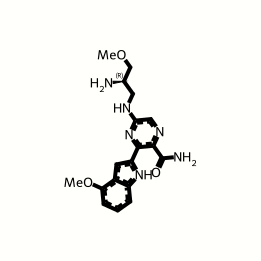 COC[C@H](N)CNc1cnc(C(N)=O)c(-c2cc3c(OC)cccc3[nH]2)n1